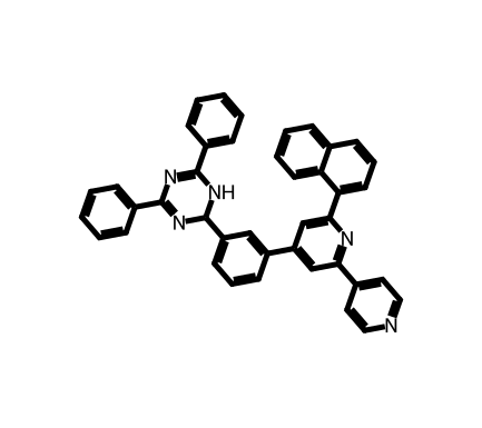 c1ccc(C2=NC(c3cccc(-c4cc(-c5ccncc5)nc(-c5cccc6ccccc56)c4)c3)NC(c3ccccc3)=N2)cc1